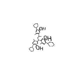 Cc1cc(C2CCCCC2)c(O)cc1C(C)CC(c1cc(O)c(C2CCCCC2)cc1C)c1cc(O)c(C2CCCCC2)cc1C